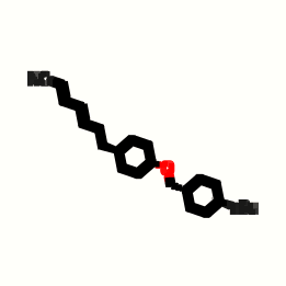 CCCC[C@H]1CC[C@H](CO[C@H]2CC[C@H](CC/C=C/C=C/C#N)CC2)CC1